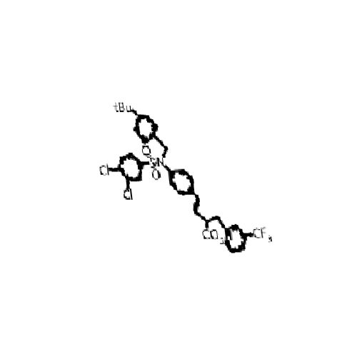 CC(C)(C)c1ccc(CN(c2ccc(/C=C/C(Cc3cccc(C(F)(F)F)c3)C(=O)O)cc2)S(=O)(=O)c2ccc(Cl)c(Cl)c2)cc1